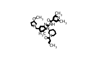 CC=CC(=O)N1CCCC[C@@H](n2c(NC(=O)c3cc(C)nc(C)c3)nc3cc(CN4CC[C@H](OC)C4)cc(C)c32)C1